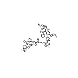 CNC(=O)c1cnc2cc(OC)c(-c3ccc(C(=O)N(C)CCCCNC(=O)CNc4cccc5c4C(=O)N(C4CCC(=O)NC4=O)C5=O)nc3)cc2c1Nc1ccccc1